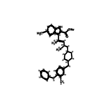 Cc1ccc2[nH]c(C(=O)OCC(C)C)c(/C(N)=C/N(N)CC3CCN(Cc4ccc(Oc5ccccc5)c(C)c4)CC3)c2c1